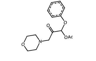 CC(=O)OC(Oc1ccccc1)C(=O)CN1CCOCC1